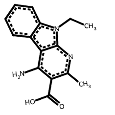 CCn1c2ccccc2c2c(N)c(C(=O)O)c(C)nc21